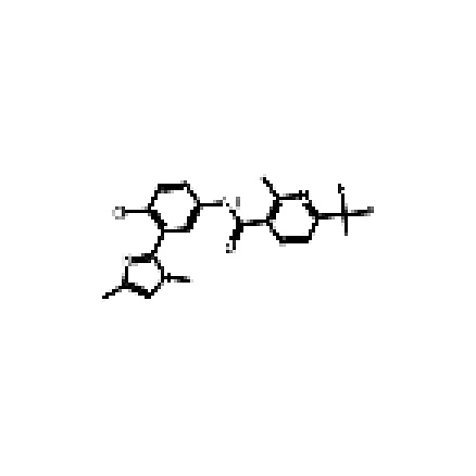 Cc1cn(C)c(-c2cc(NC(=O)c3ccc(C(F)(F)F)nc3C)ccc2Cl)n1